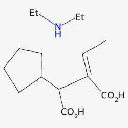 CC=C(C(=O)O)C(C(=O)O)C1CCCC1.CCNCC